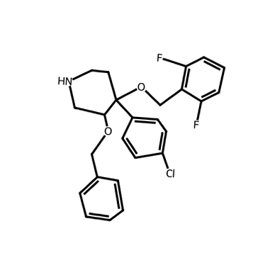 Fc1cccc(F)c1COC1(c2ccc(Cl)cc2)CCNCC1OCc1ccccc1